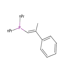 CCCP(C=C(C)c1ccccc1)CCC